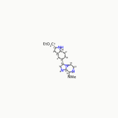 CCOC(=O)c1cc2cc(-c3cnc4c(NC)nccn34)ccc2[nH]1